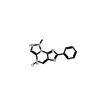 CN1NC=C2N1C1=NC(c3ccccc3)=NC1=C[NH+]2[O-]